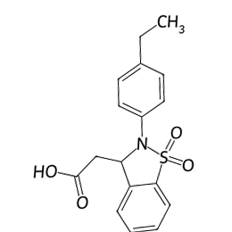 CCc1ccc(N2C(CC(=O)O)c3ccccc3S2(=O)=O)cc1